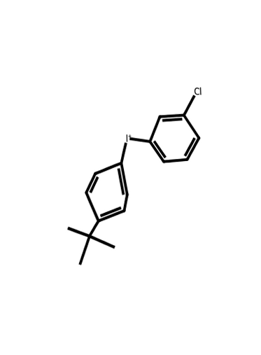 CC(C)(C)c1ccc([I+]c2cccc(Cl)c2)cc1